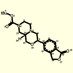 CC(C)(C)OC(=O)N1CCN2CC(c3ccc4c(c3)COC4=O)OC[C@@H]2C1